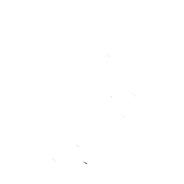 C[C@H]1CNCCN1c1ccc(Nc2ncc3c(n2)SCN(c2c(F)cccc2Cl)C3=O)cc1